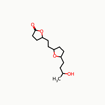 CC(O)CCC1CCC(CCC2CCC(=O)O2)O1